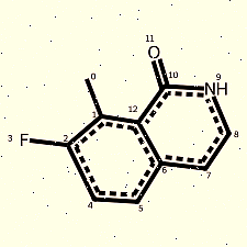 Cc1c(F)ccc2cc[nH]c(=O)c12